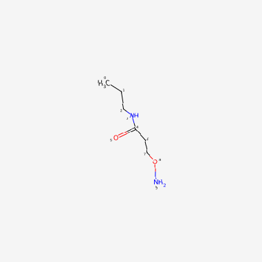 CCCNC(=O)CCON